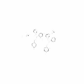 Clc1ccc(COC(Cn2ccnc2)c2ccc(Cl)cc2Cl)c(Cl)c1.Clc1ccc(COC(Cn2ccnc2)c2ccc(Cl)cc2Cl)cc1.O=[N+]([O-])O.O=[N+]([O-])O